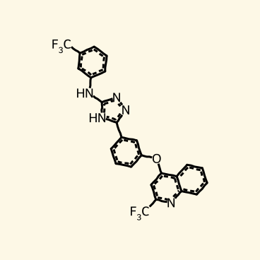 FC(F)(F)c1cccc(Nc2nnc(-c3cccc(Oc4cc(C(F)(F)F)nc5ccccc45)c3)[nH]2)c1